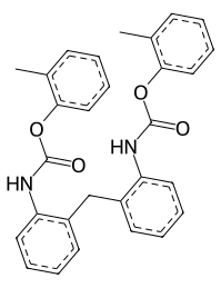 Cc1ccccc1OC(=O)Nc1ccccc1Cc1ccccc1NC(=O)Oc1ccccc1C